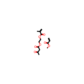 C=C(C)C(=O)OCCOC(=O)CC(C)=O.C=CC(=O)OC